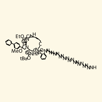 CCOC(=O)[C@@]12C[C@@H]1/C=C\CCCN(S(=O)(=O)c1ccccc1\N=N/N=N/N=N/N=N/N=N/N=N/N=N/N=N/N=N/N=N)C[C@H](NC(=O)OC(C)(C)C)C(=O)N1C[C@](OC)(c3ccc(-c4ccccc4)cc3)C[C@H]1C(=O)N2